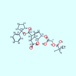 CCC(C)(C)C(=O)OCC(=O)OC1C2CC3C1OC(=O)C3C2C(=O)OC1(c2ccccc2)CCCC1